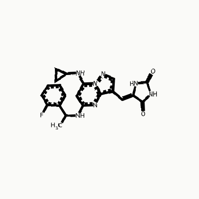 CC(Nc1cc(NC2CC2)n2ncc(/C=C3\NC(=O)NC3=O)c2n1)c1ccccc1F